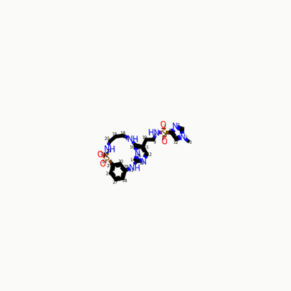 Cn1cnc(S(=O)(=O)NCCc2cnc3nc2NCCCNS(=O)(=O)c2cccc(c2)N3)c1